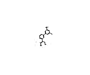 Cc1ccc(-c2cc(CF)cc(C(F)(F)F)c2)cc1C1=C(O)C(C)(C)OC(C)(C)C1=O